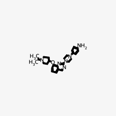 CC(C)N1CCC(Oc2cccc3cnc(N4CCN(c5ccc(N)cc5)CC4)nc23)CC1